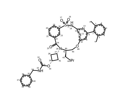 Cc1cccc(C)c1-c1cc2nc(n1)NS(=O)(=O)c1cccc(c1)C(=O)N([C@H]1C[C@@H](OC(=O)NCc3ccccc3)C1)[C@H](CC(C)C)CO2